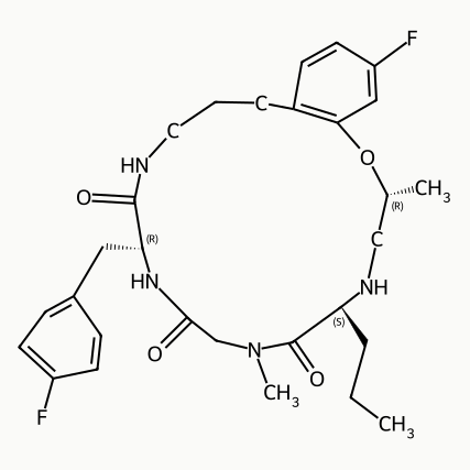 CCC[C@@H]1NC[C@@H](C)Oc2cc(F)ccc2CCCNC(=O)[C@@H](Cc2ccc(F)cc2)NC(=O)CN(C)C1=O